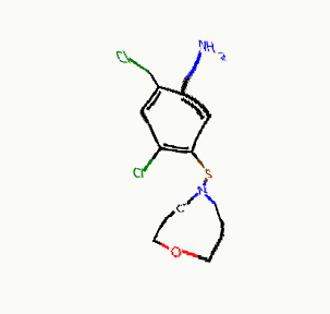 Nc1cc(SN2CCOCC2)c(Cl)cc1Cl